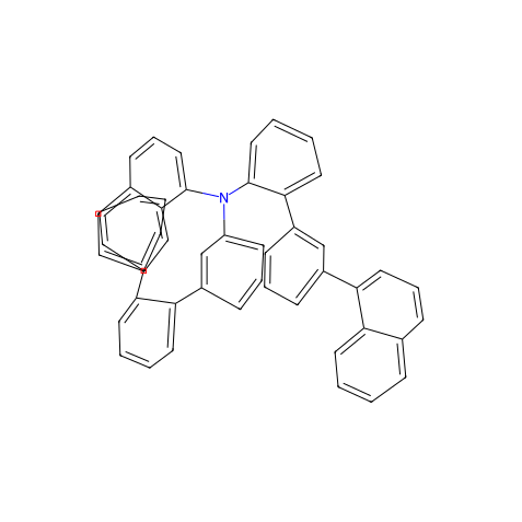 c1ccc(-c2ccccc2-c2cccc(N(c3ccccc3-c3cccc(-c4cccc5ccccc45)c3)c3cccc4ccccc34)c2)cc1